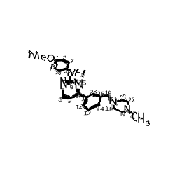 COc1ccc(Nc2nccc(-c3cccc(CN4CCN(C)CC4)c3)n2)cn1